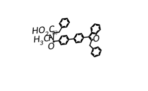 CN(C(=O)c1ccc(-c2ccc(-c3c(Cc4ccccc4)oc4ccccc34)cc2)cc1)[C@@H](Cc1ccccc1)C(=O)O